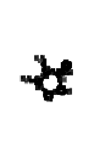 CN1C(=O)[C@H](CCCCN)NC(=O)[C@H](CCCN)NCc2ccncc2Sc2ccc(Cl)cc2CNC(=O)[C@@H]1Cc1c[nH]c2ccccc12